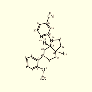 CCOc1ccccc1N1CC[C@@H]2CCN(c3cc(C#N)ccn3)[C@H]2C1